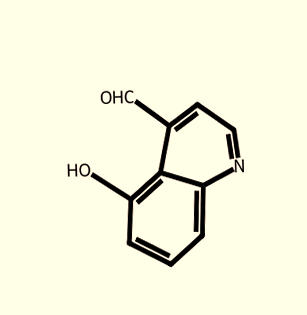 O=Cc1ccnc2cccc(O)c12